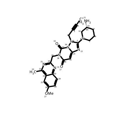 CC#CCn1c(N2CCC[C@@H](N)C2)nc2cc(=O)n(Cc3nc(C)c4cc(OC)ccc4n3)c(=O)n21